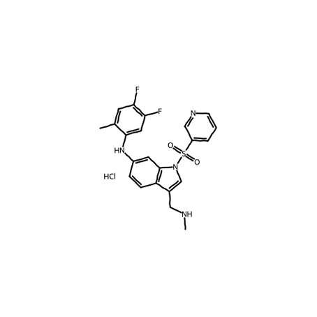 CNCc1cn(S(=O)(=O)c2cccnc2)c2cc(Nc3cc(F)c(F)cc3C)ccc12.Cl